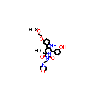 CCC12Cc3c([nH]c4ccc(OCCOC)cc34)C(c3cccc(O)c3)N1C(=O)N(CCN1CCOCC1)C2=O